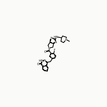 CN1CCC(Nc2ncc3c(n2)CN(C(=O)c2cc(Cc4n[nH]c(=O)c5ccccc45)ccc2F)C3)CC1